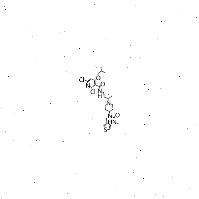 CNC(=O)N(Cc1ccsc1)C1CCN([C@H](C)CCNC(=O)c2c(OCC(C)C)cc(Cl)nc2Cl)CC1